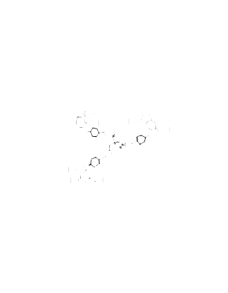 O=C(CC(O)(CC(=O)OCc1ccc(O[C@@H]2O[C@H](CO)[C@@H](O)[C@H](O)[C@H]2O)cc1)C(=O)OCc1ccc(O[C@@H]2O[C@H](CO)[C@@H](O)[C@H](O)[C@H]2O)cc1)OCc1ccc(O[C@@H]2O[C@H](CO)[C@@H](O)[C@H](O)[C@H]2O)cc1